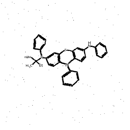 CCCCC(C)(CC)N(c1ccccc1)c1ccc2c(c1)Sc1cc(Nc3ccccc3)ccc1N2c1ccccc1